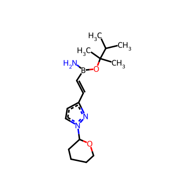 CC(C)C(C)(C)OB(N)/C=C/c1ccn(C2CCCCO2)n1